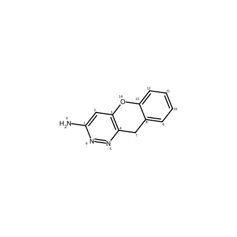 Nc1cc2c(nn1)Cc1ccccc1O2